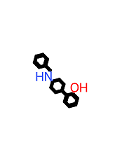 Oc1ccccc1C1CCC(NCc2ccccc2)CC1